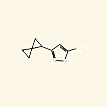 CCOC(=O)c1cc(C2CC23CC3)n[nH]1